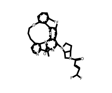 CC(C)c1nccc2c1-n1c(=O)nc(N3CCC4C3CN4C(=O)/C=C/C(F)F)c3cc(F)c(nc31)-c1c(F)cccc1OCCC2